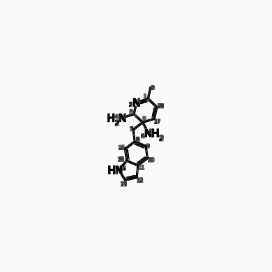 CC1=NC(N)C(N)(Cc2ccc3cc[nH]c3c2)C=C1